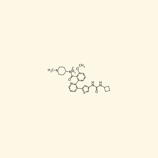 COc1cccc(-c2ncccc2-c2cc(NC(=O)NC3CCC3)cs2)c1C(=O)N(C)C1CCN(C)CC1